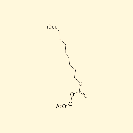 CCCCCCCCCCCCCCCCCCOC(=O)OOOC(C)=O